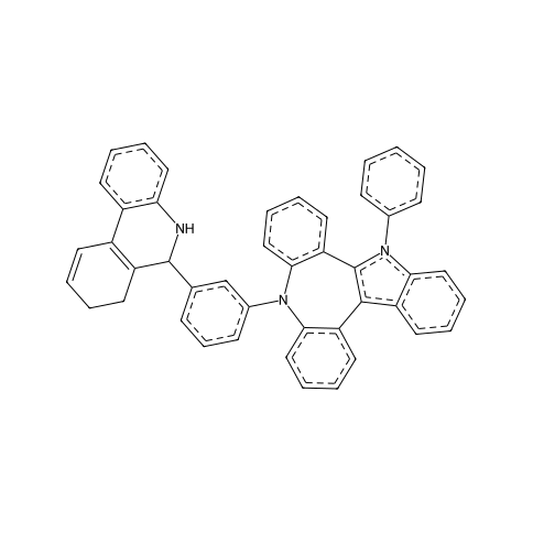 C1=CC2=C(CC1)C(c1cccc(N3c4ccccc4-c4c(n(-c5ccccc5)c5ccccc45)-c4ccccc43)c1)Nc1ccccc12